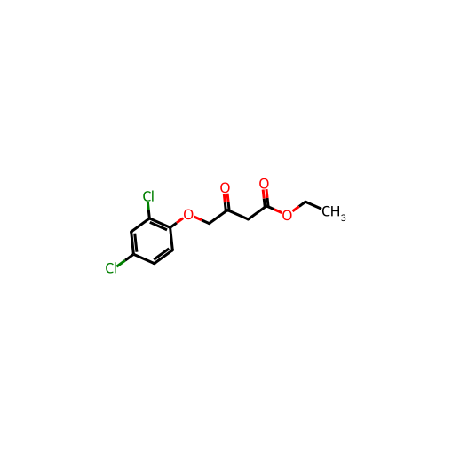 CCOC(=O)CC(=O)COc1ccc(Cl)cc1Cl